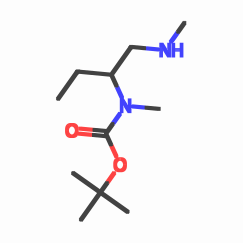 CCC(CNC)N(C)C(=O)OC(C)(C)C